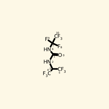 O=C(NC(C(F)(F)F)C(F)(F)F)NC(F)(F)C(F)(F)F